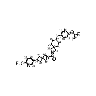 O=C(N1CC2(CCC(Cc3ccc(OC(F)F)nc3)CC2)C1)N1CC2(CC(c3ccc(C(F)(F)F)nc3)C2)C1